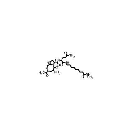 CNC(=O)CCCCCCCCNC(=O)[C@H](CCC(N)=O)NC(=O)[C@@H]1CC[C@@H]2CCN(C(C)=O)C[C@H](N)C(=O)N21